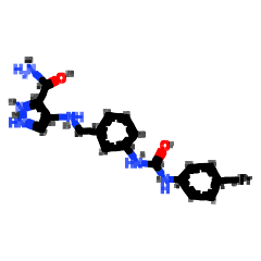 CC(C)c1ccc(NC(=O)Nc2cccc(CNc3c[nH]nc3C(N)=O)c2)cc1